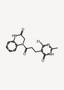 CCc1nc(C)[nH]c(=O)c1CCC(=O)N1CC(=O)Nc2ccccc21